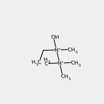 CC[N+](C)(O)[N+](C)(C)C